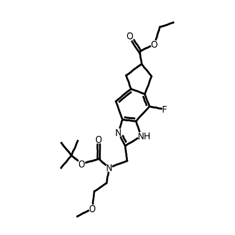 CCOC(=O)C1Cc2cc3nc(CN(CCOC)C(=O)OC(C)(C)C)[nH]c3c(F)c2C1